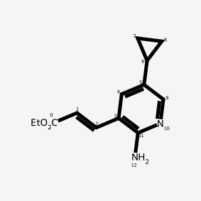 CCOC(=O)C=Cc1cc(C2CC2)cnc1N